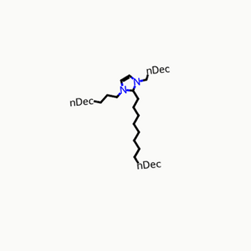 CCCCCCCCCCCCCCCCCCC1N(CCCCCCCCCCC)C=CN1CCCCCCCCCCCCC